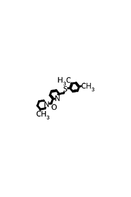 Cc1ccc(SCc2cccc(C(=O)N3CCCC(C)C3)n2)c(C)c1